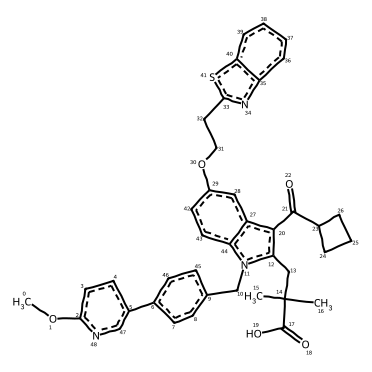 COc1ccc(-c2ccc(Cn3c(CC(C)(C)C(=O)O)c(C(=O)C4CCC4)c4cc(OCCc5nc6ccccc6s5)ccc43)cc2)cn1